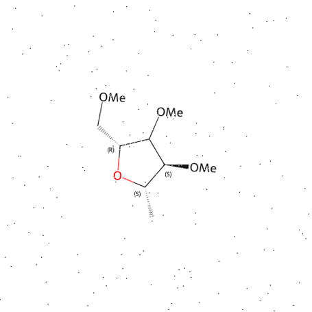 COC[C@H]1O[C@@H](C)[C@H](OC)C1OC